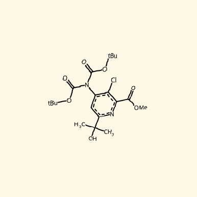 COC(=O)c1nc(C(C)(C)O)cc(N(C(=O)OC(C)(C)C)C(=O)OC(C)(C)C)c1Cl